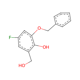 OCc1cc(F)cc(OCc2ccccc2)c1O